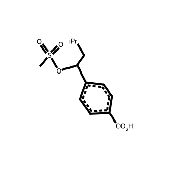 CC(C)CC(OS(C)(=O)=O)c1ccc(C(=O)O)cc1